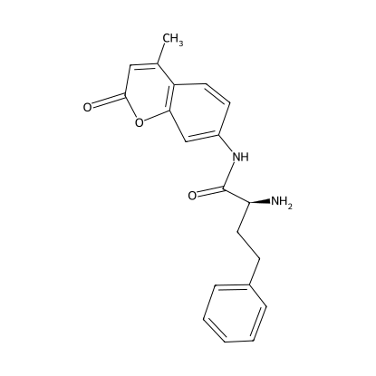 Cc1cc(=O)oc2cc(NC(=O)[C@@H](N)CCc3ccccc3)ccc12